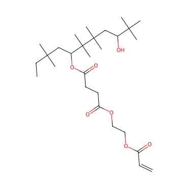 C=CC(=O)OCCOC(=O)CCC(=O)OC(CC(C)(C)CC)C(C)(C)C(C)(C)CC(O)C(C)(C)C